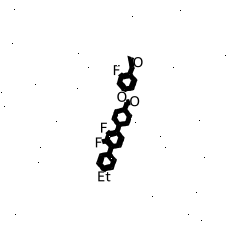 CCc1ccc(-c2ccc(C3CCC(C(=O)Oc4ccc(C5CO5)c(F)c4)CC3)c(F)c2F)cc1